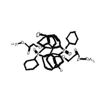 COC(=O)COc1c(Cl)ccc(P(=O)(C2CCCCC2)C2CCCCC2)c1-c1c(P(=O)(C2CCCCC2)C2CCCCC2)ccc(Cl)c1OCC(=O)OC